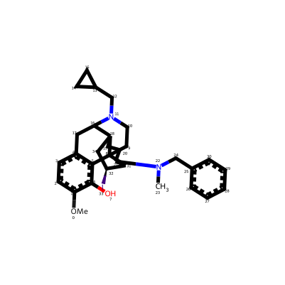 COc1ccc2c(c1O)C13CCN(CC4CC4)C(C2)C12CCC(N(C)Cc1ccccc1)C3[C@@H](I)C2